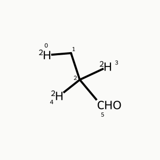 [2H]CC([2H])([2H])C=O